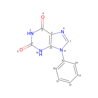 O=c1[nH]c(=O)c2ncn(-c3ccccc3)c2[nH]1